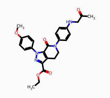 CCOC(=O)c1nn(-c2ccc(OC)cc2)c2c1CCN(c1ccc(NCC(C)=O)cc1)C2=O